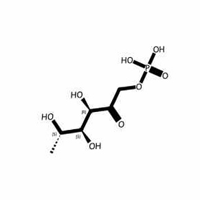 C[C@H](O)[C@H](O)[C@@H](O)C(=O)COP(=O)(O)O